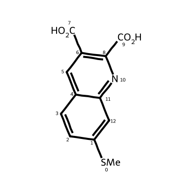 CSc1ccc2cc(C(=O)O)c(C(=O)O)nc2c1